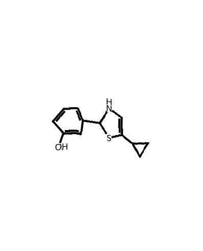 Oc1cccc(C2NC=C(C3CC3)S2)c1